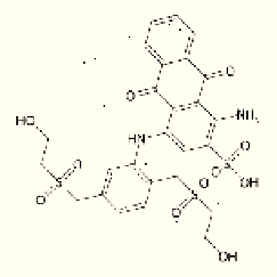 Nc1c(S(=O)(=O)O)cc(Nc2cc(CS(=O)(=O)CCO)ccc2CS(=O)(=O)CCO)c2c1C(=O)c1ccccc1C2=O